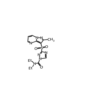 CCN(CC)C(=O)n1cnc(S(=O)(=O)c2c(C)nn3cccnc23)n1